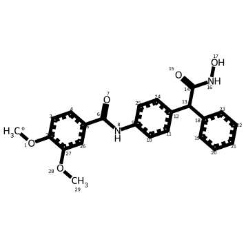 COc1ccc(C(=O)Nc2ccc(C(C(=O)NO)c3ccccc3)cc2)cc1OC